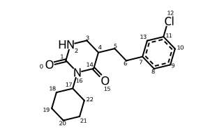 O=C1NCC(CCc2cccc(Cl)c2)C(=O)N1C1CCCCC1